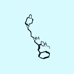 C/C(=C\c1ccccc1)CNCCCN1CCOCC1